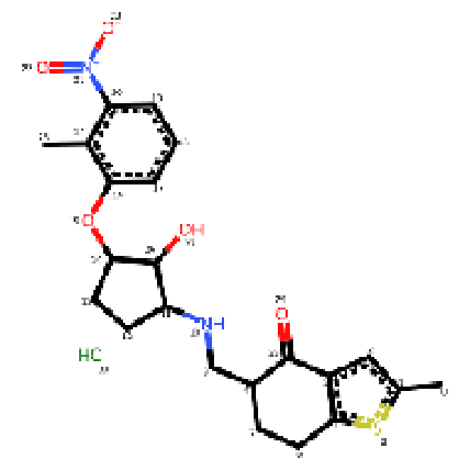 Cc1cc2c(s1)CCC(CNC1CCC(Oc3cccc([N+](=O)[O-])c3C)C1O)C2=O.Cl